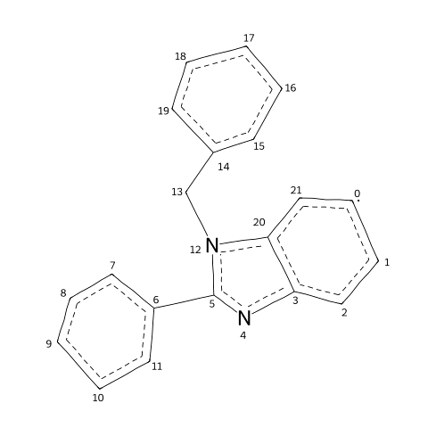 [c]1ccc2nc(-c3ccccc3)n(Cc3ccccc3)c2c1